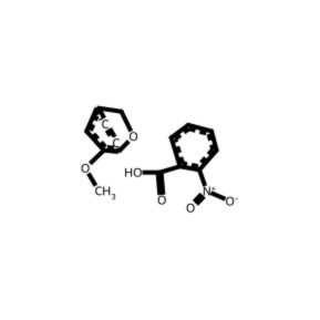 COc1cc2ccc1OC2.O=C(O)c1ccccc1[N+](=O)[O-]